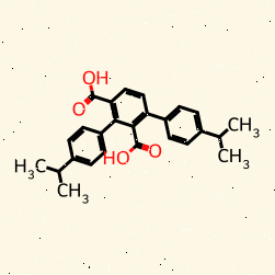 CC(C)c1ccc(-c2ccc(C(=O)O)c(-c3ccc(C(C)C)cc3)c2C(=O)O)cc1